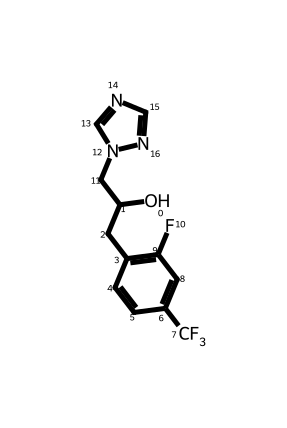 OC(Cc1ccc(C(F)(F)F)cc1F)Cn1cncn1